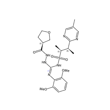 COc1cccc(OC)c1/N=C(/NNC(=O)[C@H]1CCOC1)NS(=O)(=O)[C@@H](C)[C@H](C)c1ncc(C)cn1